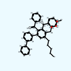 CCCCCc1cc(-c2cccc(-c3ccccc3)c2)c(C(=O)c2ccccc2)c(C(=O)c2ccccc2)c1CCCCC